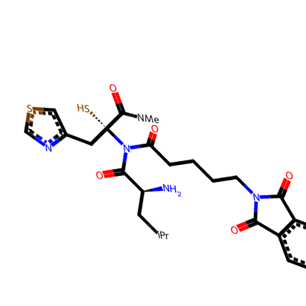 CNC(=O)[C@](S)(Cc1cscn1)N(C(=O)CCCCN1C(=O)c2ccccc2C1=O)C(=O)[C@@H](N)CC(C)C